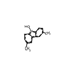 Cc1ccc2c(c1)c1cc(C)ccc1n2O